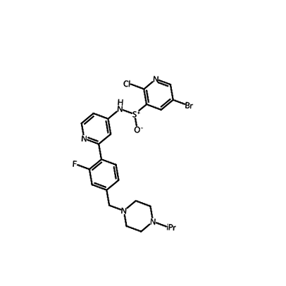 CC(C)N1CCN(Cc2ccc(-c3cc(N[S+]([O-])c4cc(Br)cnc4Cl)ccn3)c(F)c2)CC1